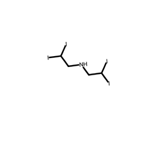 IC(I)CNCC(I)I